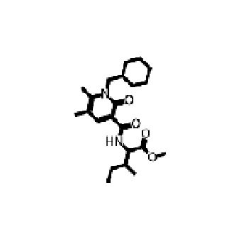 CCC(C)C(NC(=O)c1cc(C)c(C)n(CC2CCCCC2)c1=O)C(=O)OC